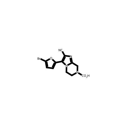 N#Cc1nc2n(c1-c1ccc(Br)o1)CCN(C(=O)O)C2